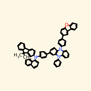 CC1(C)c2ccccc2-c2ccc(N(c3ccc(-c4ccc5c(c4)N(c4ccccc4)c4ccccc4N5c4ccc(-c5ccc6oc7ccccc7c6c5)cc4)cc3)c3cccc4ccccc34)cc21